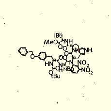 CC[C@H](C)[C@H](NC(=O)[C@@H]1CCCN1C(=O)[C@H](Cc1c[nH]cn1)N(C(=O)[C@@H](NC(=O)[C@H](Cc1ccc(OCc2ccccc2)cc1)NC(=O)OC(C)(C)C)[C@@H](C)CC)c1cccc([N+](=O)[O-])c1[N+](=O)[O-])C(=O)OC